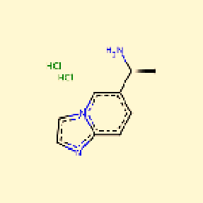 C[C@H](N)c1ccc2nccn2c1.Cl.Cl